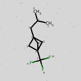 CC(C)CC12CC(C(F)(F)F)(C1)C2